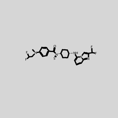 CN(CC(F)F)c1ccc(C(=O)[N+](=S)[C@H]2CC[C@@H](Nc3cccc4nc(C(F)F)cn34)CC2)cc1